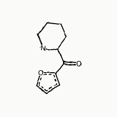 O=C(c1ccco1)C1CCCC[N]1